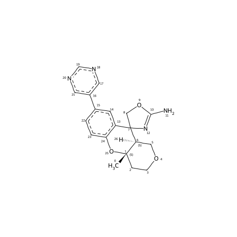 C[C@]12CCOC[C@@H]1C1(COC(N)=N1)c1cc(-c3cncnc3)ccc1O2